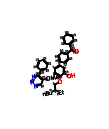 CCCCC(CC)COc1ccccc1O.COc1cnnnc1-c1ccccc1.O=C(c1ccccc1)c1ccccc1